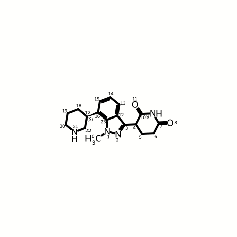 Cn1nc(C2CCC(=O)NC2=O)c2cccc([C@@H]3CCCNC3)c21